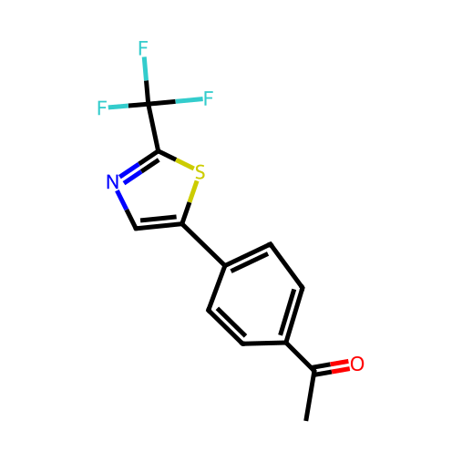 CC(=O)c1ccc(-c2cnc(C(F)(F)F)s2)cc1